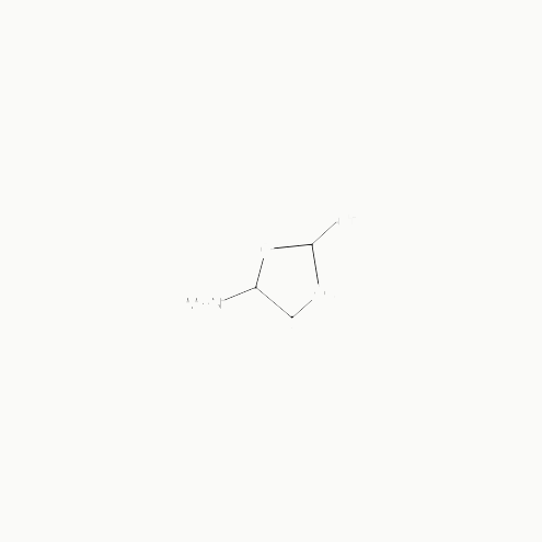 CNC1COC(C(C)C)O1